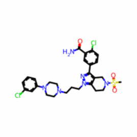 CS(=O)(=O)N1CCc2c(c(-c3ccc(Cl)c(C(N)=O)c3)nn2CCCN2CCN(c3cccc(Cl)c3)CC2)C1